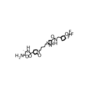 C[C@H](NC(=O)c1ccn(CCCCn2cc(C(=O)NCc3cccc(OC(F)(F)F)c3)nn2)c(=O)c1)C(N)=O